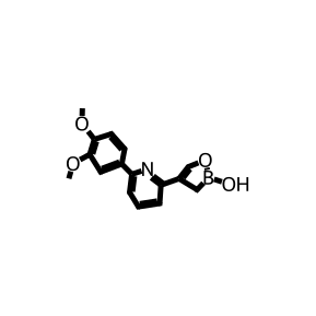 COc1ccc(-c2cccc(C3=COB(O)C3)n2)cc1OC